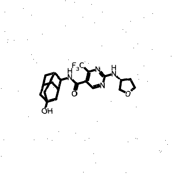 O=C(NC1C2CC3CC1CC(O)(C3)C2)c1cnc(N[C@H]2CCOC2)nc1C(F)(F)F